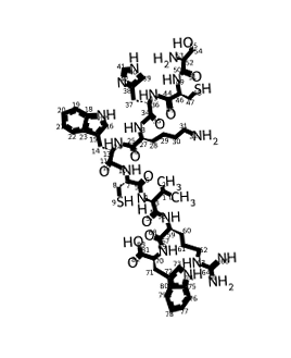 CC(C)[C@H](NC(=O)[C@H](CS)NC(=O)[C@H](Cc1c[nH]c2ccccc12)NC(=O)[C@H](CCCCN)NC(=O)[C@H](Cc1c[nH]cn1)NC(=O)[C@H](CS)NC(=O)[C@@H](N)CO)C(=O)N[C@@H](CCCNC(=N)N)C(=O)N[C@@H](Cc1c[nH]c2ccccc12)C(=O)O